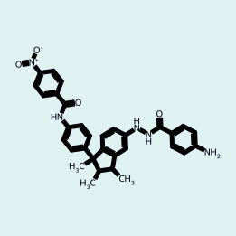 CC1c2cc(NNC(=O)c3ccc(N)cc3)ccc2C(C)(c2ccc(NC(=O)c3ccc([N+](=O)[O-])cc3)cc2)C1C